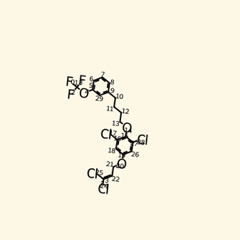 FC(F)(F)Oc1cccc(CCCCOc2c(Cl)cc(OCC=C(Cl)Cl)cc2Cl)c1